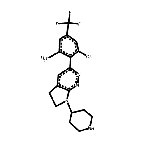 Cc1cc(C(F)(F)F)cc(O)c1-c1cc2c(nn1)N(C1CCNCC1)CC2